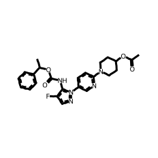 CC(=O)OC1CCN(c2ccc(-n3ncc(F)c3NC(=O)OC(C)c3ccccc3)cn2)CC1